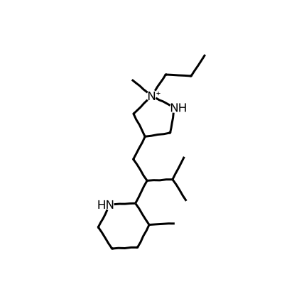 CCC[N+]1(C)CC(CC(C(C)C)C2NCCCC2C)CN1